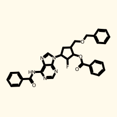 O=C(Nc1ncnc2c1ncn2C1CC(COCc2ccccc2)C(OC(=O)c2ccccc2)C1F)c1ccccc1